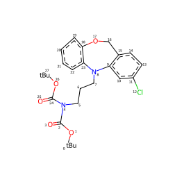 CC(C)(C)OC(=O)N(CCCN1c2cc(Cl)ccc2COc2ccccc21)C(=O)OC(C)(C)C